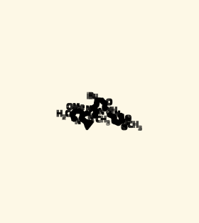 C=C1C=NC(C2CC2)=C(c2nc(C)c3c(n2)/C=C(\[C@@H](C)CC)CC(=O)/C(NCc2ccc(S(C)(=O)=O)cn2)=N\3)C(OC)=C1